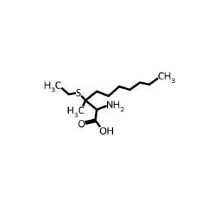 CCCCCCCC(C)(SCC)C(N)C(=O)O